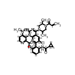 C=CC(=O)N1CC(C)N(c2nc(=O)n(-c3c(N(C)C)ccnc3C(C)C)c3nc(-c4c(F)cccc4NC(=O)C4CC4)c(Cl)cc23)CC1C